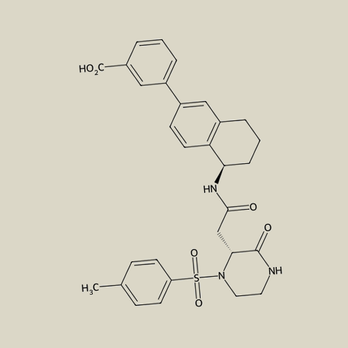 Cc1ccc(S(=O)(=O)N2CCNC(=O)[C@H]2CC(=O)N[C@@H]2CCCc3cc(-c4cccc(C(=O)O)c4)ccc32)cc1